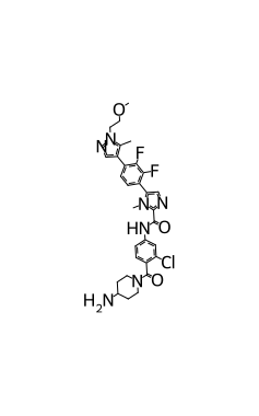 COCCn1ncc(-c2ccc(-c3cnc(C(=O)Nc4ccc(C(=O)N5CCC(N)CC5)c(Cl)c4)n3C)c(F)c2F)c1C